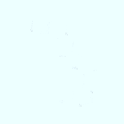 O=C(NCC(O)CN1CCc2ccncc2C1)c1cc(Cl)ncn1